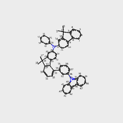 CC1(C)c2ccccc2-c2ccc(N(c3ccccc3)c3ccc4c(c3)C(C)(C)C3C=CC=C(c5cccc(-n6c7ccccc7c7ccccc76)c5)C43)cc21